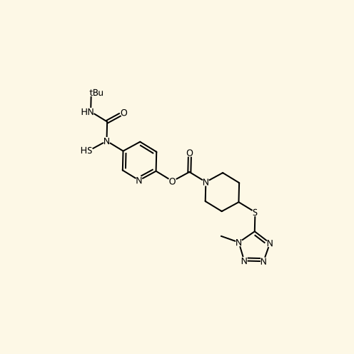 Cn1nnnc1SC1CCN(C(=O)Oc2ccc(N(S)C(=O)NC(C)(C)C)cn2)CC1